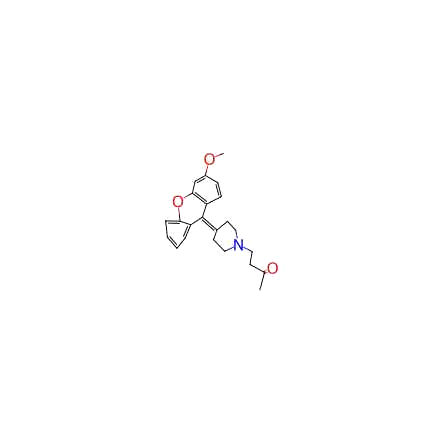 COc1ccc2c(c1)Oc1ccccc1C2=C1CCN(CCC(C)=O)CC1